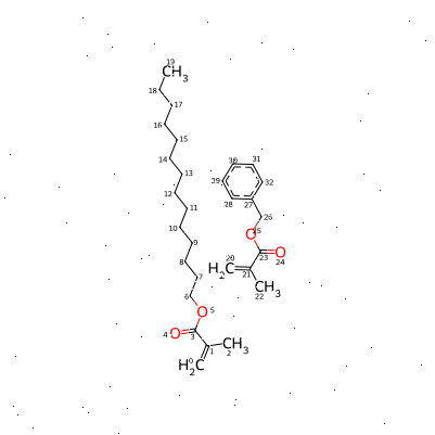 C=C(C)C(=O)OCCCCCCCCCCCCCC.C=C(C)C(=O)OCc1ccccc1